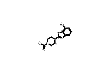 O=C(N1CCN(c2nc3cccc(O)c3s2)CC1)C(F)(F)F